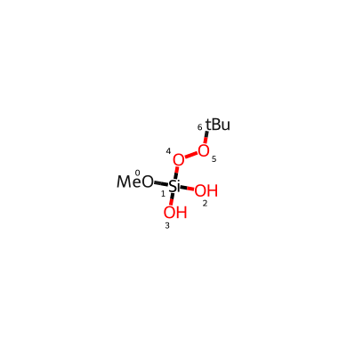 CO[Si](O)(O)OOC(C)(C)C